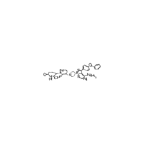 Nc1ncnc2c1c(-c1ccc(Oc3ccccc3)cc1)nn2C1CCN(Cc2ccnc(C3CCC(=O)NC3=O)c2F)CC1